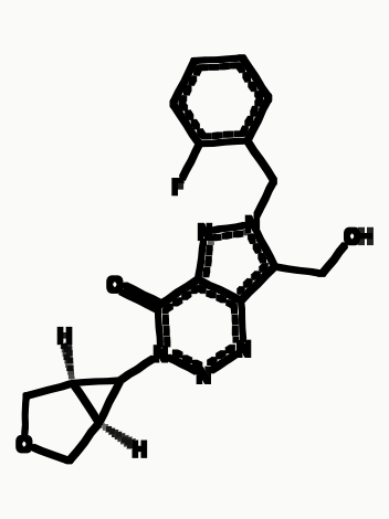 O=c1c2nn(Cc3ccccc3F)c(CO)c2nnn1C1[C@H]2COC[C@@H]12